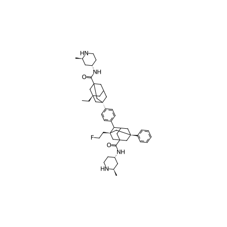 CC[C@]12CC3CC(C(=O)N[C@H]4CCN[C@H](C)C4)(C1)C[C@@](c1ccc(C4C5CC6(C(=O)N[C@H]7CCN[C@H](C)C7)C[C@@](c7ccccc7)(C5)C[C@]4(CCF)C6)cc1)(C3)C2